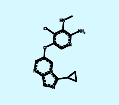 CNc1c(N)ncc(Oc2cnc3cnc(C4CC4)n3c2)c1Cl